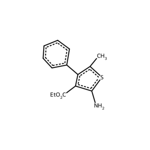 CCOC(=O)c1c(N)sc(C)c1-c1ccccc1